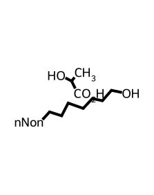 CC(O)C(=O)O.CCCCCCCCCCCCCCCCO